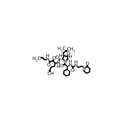 C#CCCC(NC(=O)[C@@H]1[C@H]2CC(C)(C)O[C@H]2CN1C(=O)[C@@H](NC(=O)NCCN1CCCCC1=O)C1CCCCC1)C(=O)C(=O)NCC=C